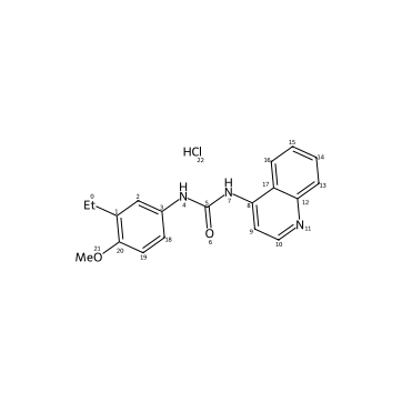 CCc1cc(NC(=O)Nc2ccnc3ccccc23)ccc1OC.Cl